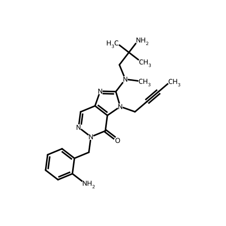 CC#CCn1c(N(C)CC(C)(C)N)nc2cnn(Cc3ccccc3N)c(=O)c21